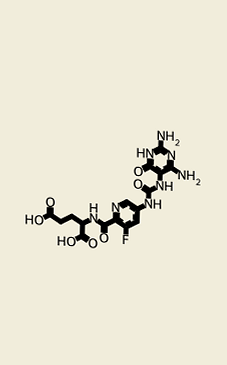 Nc1nc(N)c(NC(=O)Nc2cnc(C(=O)NC(CCC(=O)O)C(=O)O)c(F)c2)c(=O)[nH]1